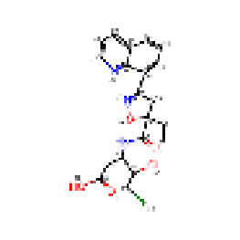 CCC1(C(=O)NC(CC(=O)O)C(O)CF)CC(c2cccc3cccnc23)=NO1